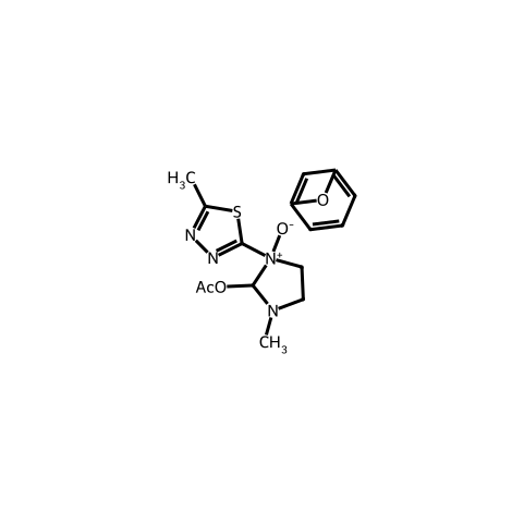 CC(=O)OC1N(C)CC[N+]1([O-])c1nnc(C)s1.c1cc2cc(c1)O2